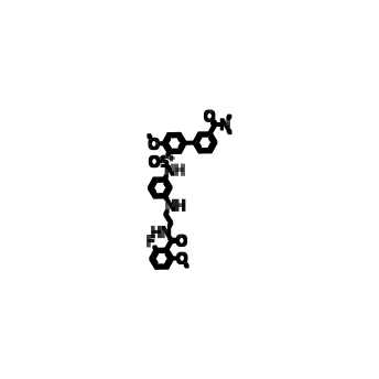 COc1ccc(-c2cccc(C(=O)N(C)C)c2)cc1[S+]([O-])Nc1cccc(NCCNC(=O)c2c(F)cccc2OC)c1